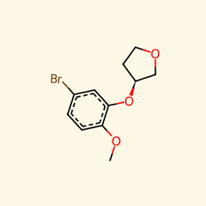 COc1ccc(Br)cc1O[C@H]1CCOC1